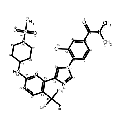 CN(C)C(=O)c1ccc(-n2cnc(-c3nc(NC4CCN(S(C)(=O)=O)CC4)ncc3C(F)(F)F)c2)c(Cl)c1